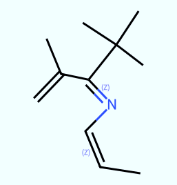 C=C(C)/C(=N\C=C/C)C(C)(C)C